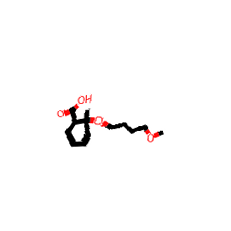 COCCCCOC1(C)C=CC=CC1C(=O)O